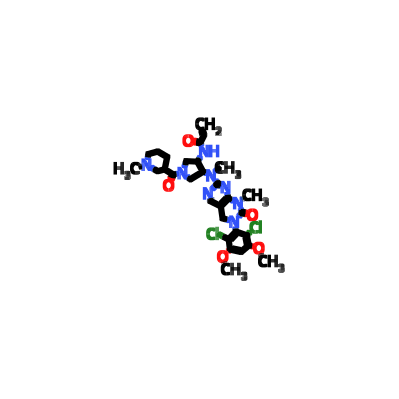 C=CC(=O)NC1CN(C(=O)C2CCCN(C)C2)CC1N(C)c1ncc2c(n1)N(C)C(=O)N(c1c(Cl)c(OC)cc(OC)c1Cl)C2